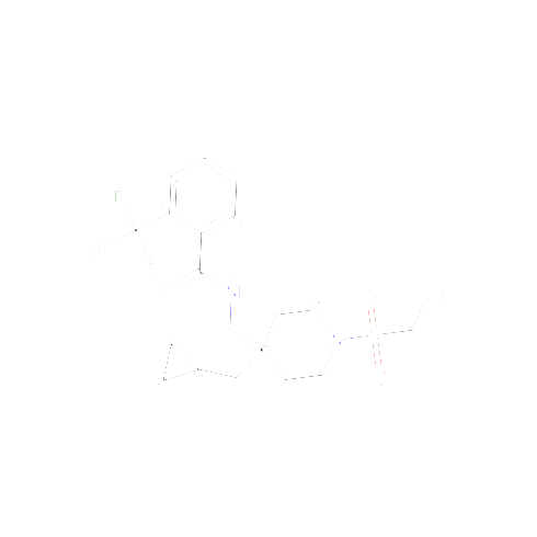 CCS(=O)(=O)N1CCC(CNC(=O)c2ccccc2C(F)(F)F)(CC2CC2)CC1